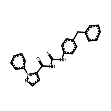 O=C(NC(=S)Nc1ccc(Cc2ccccc2)cc1)c1ccnn1-c1ccccc1